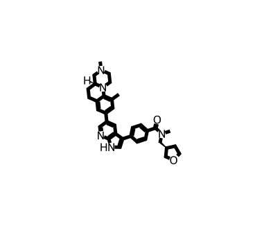 Cc1cc(-c2cnc3[nH]cc(-c4ccc(C(=O)N(C)C[C@H]5CCOC5)cc4)c3c2)cc2c1N1CCN(C)C[C@@H]1CC2